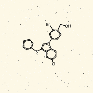 OCc1ccc(-n2cc(Sc3ccccc3)c3cc(Cl)ccc32)cc1Br